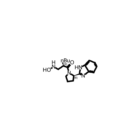 CCCC[C@H](CNO)C(=O)N1CCC[C@@H]1c1nc2ccccc2[nH]1